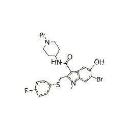 CC(C)N1CCC(NC(=O)c2c(CSc3ccc(F)cc3)n(C)c3cc(Br)c(O)cc23)CC1